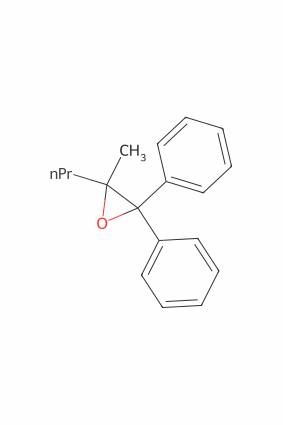 CCCC1(C)OC1(c1ccccc1)c1ccccc1